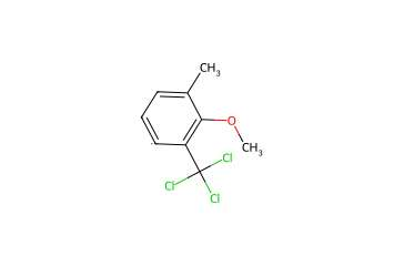 COc1c(C(Cl)(Cl)Cl)[c]ccc1C